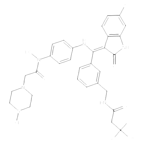 CN1CCN(CC(=O)N(C)c2ccc(NC(=C3C(=O)Nc4cc(F)ccc43)c3cccc(CNC(=O)CC(C)(C)C)c3)cc2)CC1